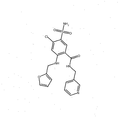 NS(=O)(=O)c1cc(C(=O)NCc2cccnc2)c(NCc2ccco2)cc1Cl